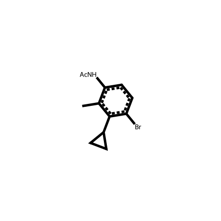 CC(=O)Nc1ccc(Br)c(C2CC2)c1C